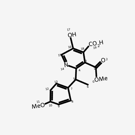 COC(=O)c1c(C(C)c2ccc(OC)cc2)ncc(O)c1C(=O)O